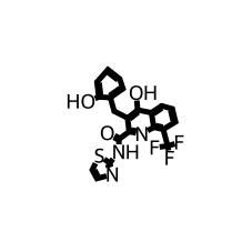 O=C(Nc1nccs1)c1nc2c(C(F)(F)F)cccc2c(O)c1Cc1ccccc1O